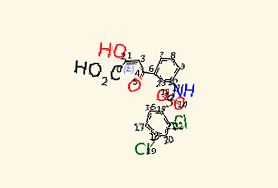 O=C(O)/C(O)=C\C(=O)c1cccc(NS(=O)(=O)c2ccc(Cl)cc2Cl)c1